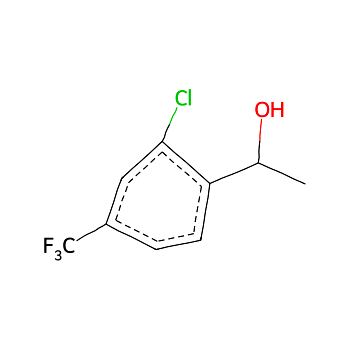 CC(O)c1ccc(C(F)(F)F)cc1Cl